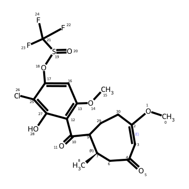 CO/C1=C/C(=O)C[C@@H](C)C(C(=O)c2c(OC)cc(OS(=O)C(F)(F)F)c(Cl)c2O)CC1